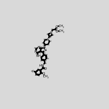 COc1ccc(F)cc1C(=O)NCc1ccc(-c2nn(C3CCN(C4CN(CC(OC)OC)C4)CC3)c3ncnc(N)c23)cc1